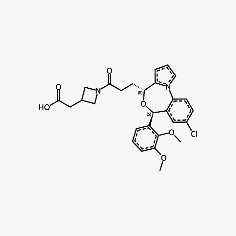 COc1cccc([C@H]2O[C@H](CCC(=O)N3CC(CC(=O)O)C3)c3cccn3-c3ccc(Cl)cc32)c1OC